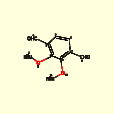 CCCCOc1c(C=O)ccc(C=O)c1OCCCC